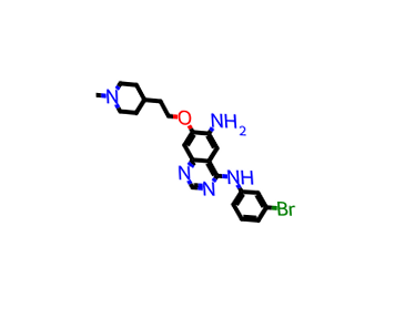 CN1CCC(CCOc2cc3ncnc(Nc4cccc(Br)c4)c3cc2N)CC1